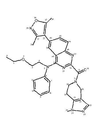 CCOCCN(c1ccccc1)c1nc(C(=O)N2CCc3c(cnn3C)C2)nc2ccc(-c3c(C)noc3C)cc12